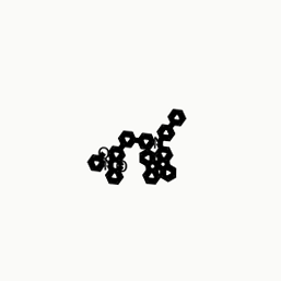 c1ccc(-c2ccc(N(c3ccc(-c4cccc(-c5cc6c7c(c5)Oc5ccccc5N7c5ccccc5O6)c4)cc3)c3ccc4c(c3)C3(c5ccccc5-c5ccccc53)c3ccccc3-4)cc2)cc1